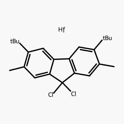 Cc1cc2c(cc1C(C)(C)C)-c1cc(C(C)(C)C)c(C)cc1C2(Cl)Cl.[Hf]